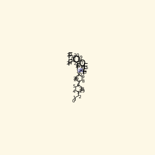 CCCC1CCC(C2CCC(/C=C(\F)C(F)(F)Oc3ccc(F)c(F)c3)CC2)CC1